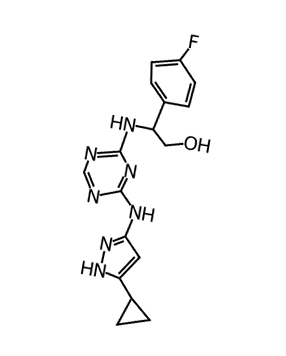 OCC(Nc1ncnc(Nc2cc(C3CC3)[nH]n2)n1)c1ccc(F)cc1